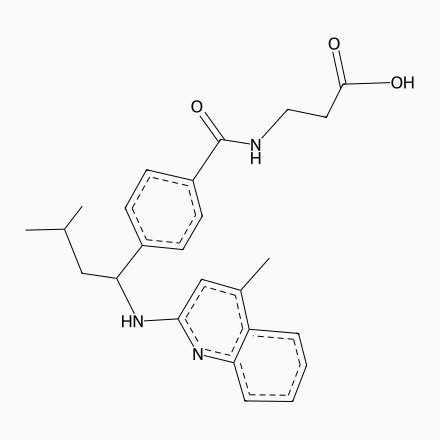 Cc1cc(NC(CC(C)C)c2ccc(C(=O)NCCC(=O)O)cc2)nc2ccccc12